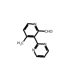 Cc1ccnc(C=O)c1-c1ncccn1